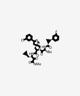 CNC(=O)C(=O)[C@H](CC1CC1)NC(=O)C1C[C@]2(CC(c3cccc(Cl)c3)=NO2)CN1C(=O)[C@@H](NC(=O)[C@@H]1C[C@H]1c1cccc(F)c1)C(C)(C)C